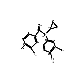 O=C(c1ccc(Cl)c(I)c1)N(c1ccc(Cl)c(I)c1)C1CC1